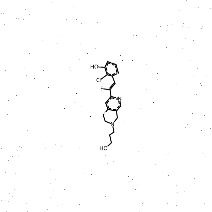 OCCCN1CCc2cc(/C(F)=C/c3cccc(O)c3Cl)ncc2C1